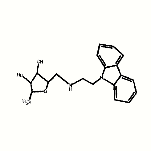 NC1OC(CNCCn2c3ccccc3c3ccccc32)C(O)C1O